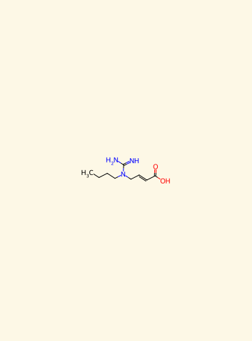 CCCCN(C/C=C/C(=O)O)C(=N)N